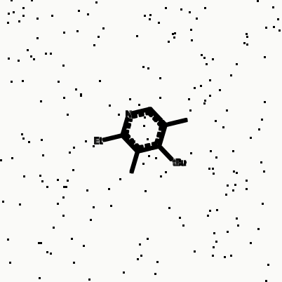 CCc1ncc(C)c(C(C)(C)C)c1C